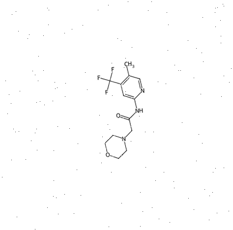 Cc1cnc(NC(=O)CN2CCOCC2)cc1C(F)(F)F